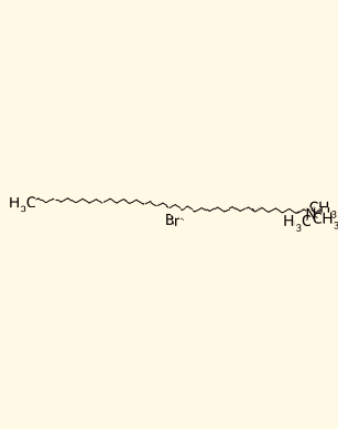 CCCCCCCCCCCCCCCCCCCCCCCCCCCCCCCCCCCCCCCC[N+](C)(C)C.[Br-]